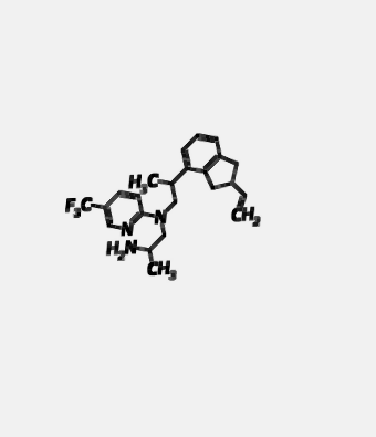 C=CC1Cc2cccc(C(C)CN(CC(C)N)c3ccc(C(F)(F)F)cn3)c2C1